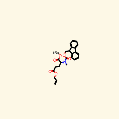 C=CCOC(=O)CCC(C(=O)OC(C)(C)C)N(C)C(=O)OCC1c2ccccc2-c2ccccc21